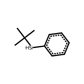 CC(C)(C)[SiH]c1ccccc1